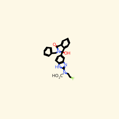 O=C(O)N(CCF)c1nc2cc(C3(O)c4ccccc4C(=O)N3Cc3ccccc3)ccc2[nH]1